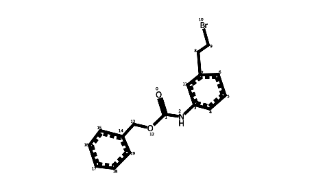 O=C(Nc1cccc([CH]CBr)c1)OCc1ccccc1